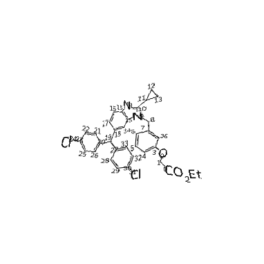 CCOC(=O)COc1cccc(Cn2c(C3CC3)nc3ccc(C(c4ccc(Cl)cc4)c4ccc(Cl)cc4)cc32)c1